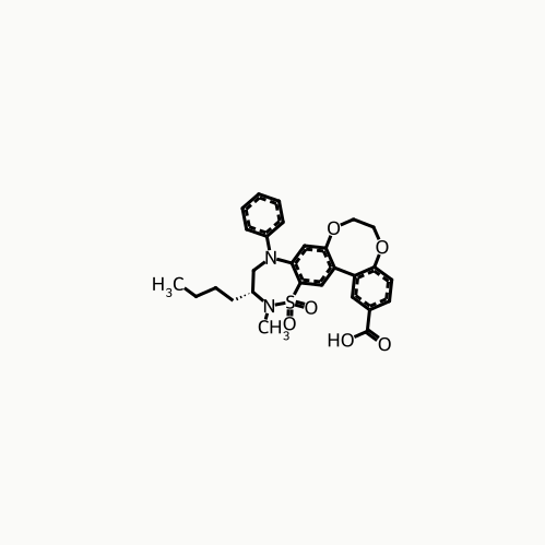 CCCC[C@@H]1CN(c2ccccc2)c2cc3c(cc2S(=O)(=O)N1C)-c1cc(C(=O)O)ccc1OCCO3